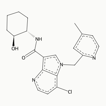 Cc1ccnc(Cn2cc(C(=O)N[C@H]3CCCC[C@@H]3O)c3nccc(Cl)c32)c1